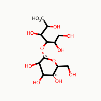 O=C(O)C(O)C(O)C(O[C@@H]1OC(CO)[C@H](O)C(O)C1O)C(O)CO